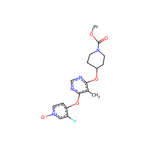 Cc1c(Oc2cc[n+]([O-])cc2F)ncnc1OC1CCN(C(=O)OC(C)C)CC1